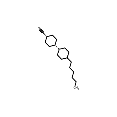 CCCCCCC1CCN([C@H]2CC[C@H](C#N)CC2)CC1